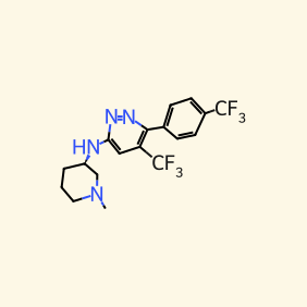 CN1CCC[C@@H](Nc2cc(C(F)(F)F)c(-c3ccc(C(F)(F)F)cc3)nn2)C1